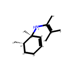 CC(C)=C(C)N[C@@]1(C)C=CCC[C@@H]1C